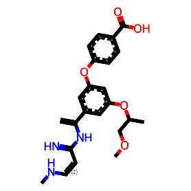 C=C(NC(=N)/C=C\NC)c1cc(Oc2ccc(C(=O)O)cc2)cc(OC(C)COC)c1